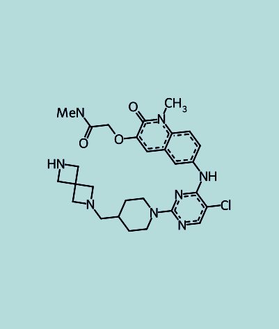 CNC(=O)COc1cc2cc(Nc3nc(N4CCC(CN5CC6(CNC6)C5)CC4)ncc3Cl)ccc2n(C)c1=O